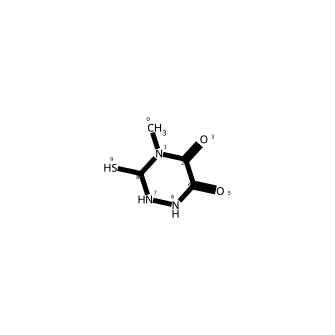 CN1C(=O)C(=O)NNC1S